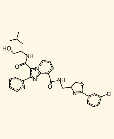 CC(C)C[C@@H](CO)NC(=O)c1c(-c2ccccn2)nc2c(C(=O)NCC3CSC(c4cccc(Cl)c4)=N3)cccn12